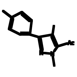 CC(=O)c1c(C)c(-c2ccc(C)cc2)nn1C